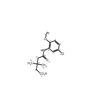 CC(C)Oc1ccc(Cl)cc1NC(=O)CC(C)(C)CC(=O)O